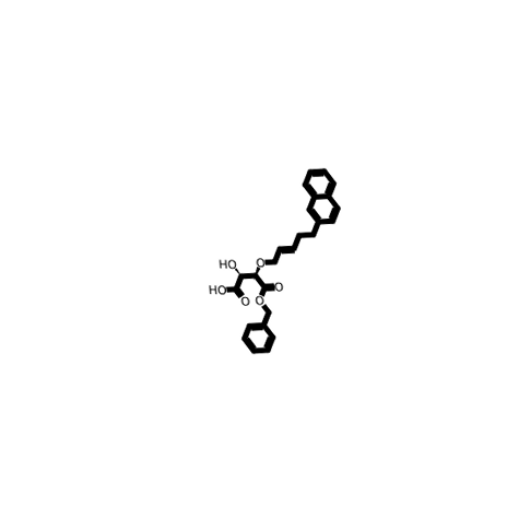 O=C(O)[C@H](O)[C@@H](OC/C=C/CCc1ccc2ccccc2c1)C(=O)OCc1ccccc1